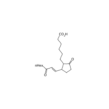 CCCCCCC(=O)/C=C/C1CCC(=O)C1CCCCCC(=O)O